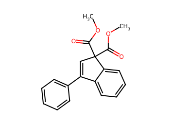 COC(=O)C1(C(=O)OC)C=C(c2ccccc2)c2ccccc21